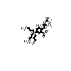 CCC[CH2][Sn]([CH2]CCC)([CH2]CCC)[c]1ccc(CC(C)(C)OC(N)=O)c([N+](=O)[O-])c1